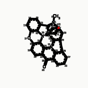 Cn1c2[n+](c3ccccc31)[N+]13c4c(cccc4-2)Oc2ccc4c(=O)c5cccc6c7cnc[n+]1c7n(c4c23)c56